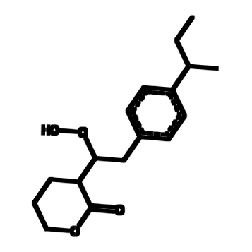 CCC(C)c1ccc(CC(OO)C2CCCOC2=O)cc1